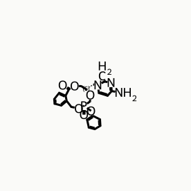 C=C1N=C(N)C=CN1C[C@H]1COC(=O)c2ccccc2COP(=O)(Oc2ccccc2)CO1